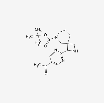 CC(=O)c1cnc(C2NCC23CCCN(C(=O)OC(C)(C)C)C3)nc1